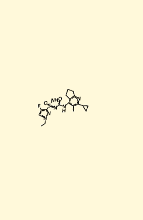 CCn1cc(F)c([S@@](N)(=O)=NC(=O)Nc2c(C)c(C3CC3)nc3c2CCC3)n1